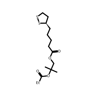 CCC(=O)OC(C)(C)COC(=O)CCCC[C@@H]1CCSS1